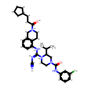 CC(C)C1CN(C(=O)Nc2cccc(F)c2)CCN1/C(=N\C#N)Nc1cccc2c1CCN(C(=O)CCC1CCCC1)C2